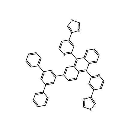 c1ccc(-c2cc(-c3ccccc3)cc(-c3ccc4c(-c5cc(-c6cscn6)ccn5)c5ccccc5c(-c5cc(-c6cscn6)ccn5)c4c3)c2)cc1